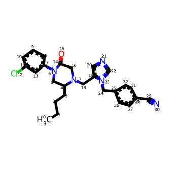 CCCCC1CN(c2cccc(Cl)c2)C(=O)CN1Cc1cncn1Cc1ccc(C#N)cc1